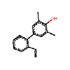 C=Cc1ccccc1-c1cc(C)c(O)c(C)c1